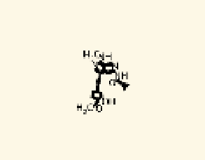 CNc1ncc(C#Cc2ccc(C(C)=O)c(O)c2)c2cc(NC(=O)C3CC3)ncc12